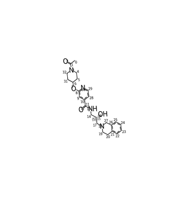 CC(=O)N1CCC(Oc2cc(C(=O)NC[C@H](O)CN3CCc4ccccc4C3)ccn2)CC1